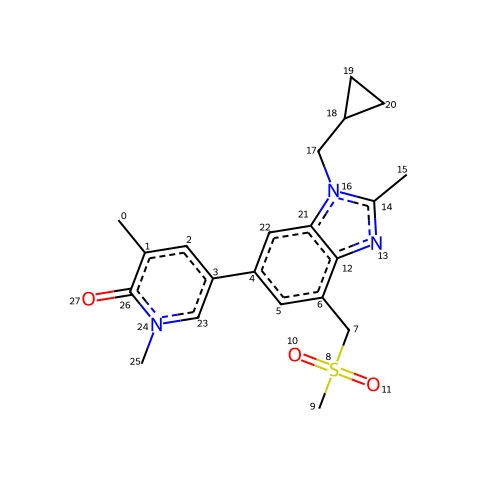 Cc1cc(-c2cc(CS(C)(=O)=O)c3nc(C)n(CC4CC4)c3c2)cn(C)c1=O